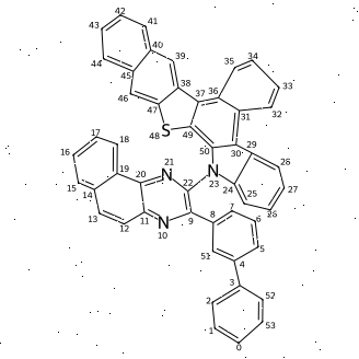 c1ccc(-c2cccc(-c3nc4ccc5ccccc5c4nc3-n3c4ccccc4c4c5ccccc5c5c6cc7ccccc7cc6sc5c43)c2)cc1